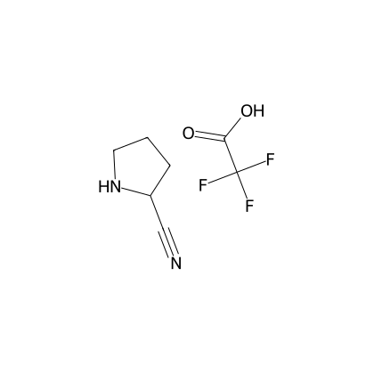 N#CC1CCCN1.O=C(O)C(F)(F)F